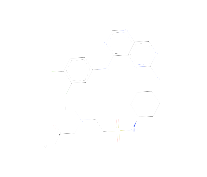 COC(=O)CN(C)CCS(=O)(=O)N[C@H]1CC[C@H](Nc2ncc3ncnc(Nc4ccc(F)c(Cl)c4)c3n2)CC1